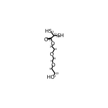 O=C(OCCOCCOCCO)C(S)S